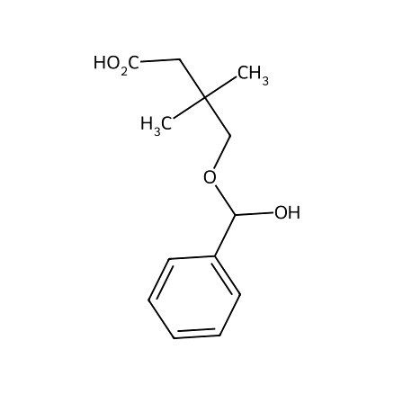 CC(C)(COC(O)c1ccccc1)CC(=O)O